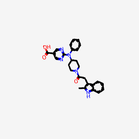 Cc1[nH]c2ccccc2c1CC(=O)N1CCC(N(c2ccccc2)c2ncc(C(=O)O)cn2)CC1